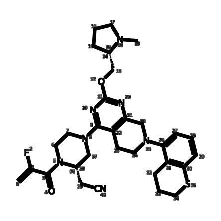 C=C(F)C(=O)N1CCN(c2nc(OC[C@@H]3CCCN3C)nc3c2CCN(c2cccc4c2CCCS4)C3)C[C@@H]1CC#N